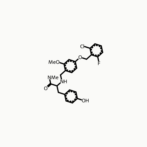 CNC(=O)C(Cc1ccc(O)cc1)NCc1ccc(OCc2c(F)cccc2Cl)cc1OC